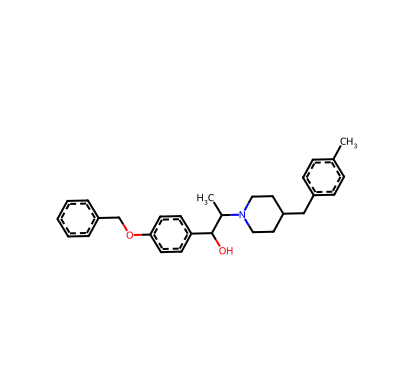 Cc1ccc(CC2CCN(C(C)C(O)c3ccc(OCc4ccccc4)cc3)CC2)cc1